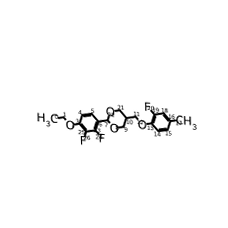 CCOc1ccc(C2OCC(COc3ccc(C)cc3F)CO2)c(F)c1F